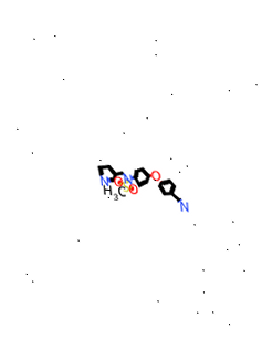 CS(=O)(=O)N(Cc1cccnc1)c1ccc(Oc2ccc(C#N)cc2)cc1